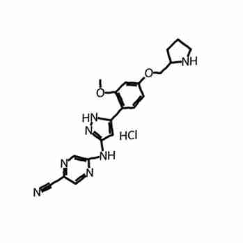 COc1cc(OCC2CCCN2)ccc1-c1cc(Nc2cnc(C#N)cn2)n[nH]1.Cl